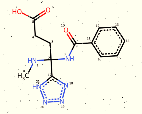 CNC(CCC(=O)O)(NC(=O)c1ccccc1)c1nnn[nH]1